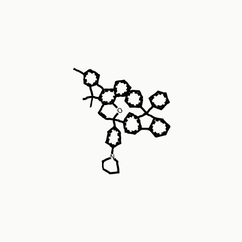 Cc1ccc2c(c1)C(C)(C)c1c3c(c4ccccc4c1-2)OC(c1ccc(N2CCCCC2)cc1)(c1ccc2c(c1)C(c1ccccc1)(c1ccccc1)c1ccccc1-2)C=C3